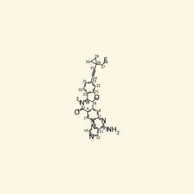 CN(C(=O)c1ccc2nc(N)c3cncn3c2c1)[C@@H]1COc2cc(C#CC3(CF)CC3)ccc21